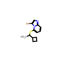 O=C(O)C(Sc1cccc2ncc(Br)n12)C1CCC1